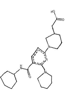 O=C(O)CC1CCCN(c2ccc(C(=O)NC3CCCCC3)c(N3CCCCC3)n2)C1